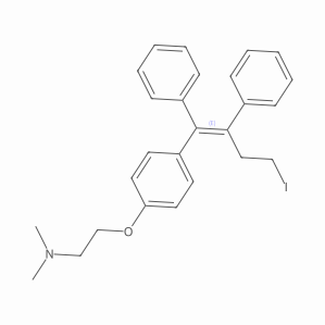 CN(C)CCOc1ccc(/C(=C(\CCI)c2ccccc2)c2ccccc2)cc1